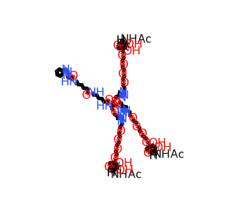 CC(=O)N[C@H]1[C@@H]2OC[C@](COCCOCCOCCOCCn3cc(COCC(COCc4cn(CCOCCOCCOCCOC[C@@]56CO[C@@H](O5)[C@H](NC(C)=O)[C@@H](O)[C@H]6O)nn4)(COCc4cn(CCOCCOCCOCCOC[C@@]56CO[C@@H](O5)[C@H](NC(C)=O)[C@@H](O)[C@H]6O)nn4)NC(=O)CCCCCNC(=O)CCCCCNC(=O)Cn4nnc5ccccc54)nn3)(O2)[C@H](O)[C@@H]1O